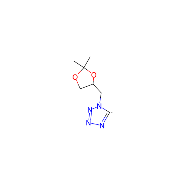 CC1(C)OCC(Cn2[c]nnn2)O1